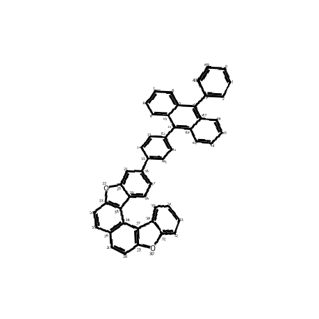 c1ccc(-c2c3ccccc3c(-c3ccc(-c4ccc5c(c4)oc4ccc6ccc7oc8ccccc8c7c6c45)cc3)c3ccccc23)cc1